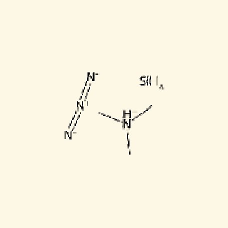 C[NH+](C)C.[N-]=[N+]=[N-].[SiH4]